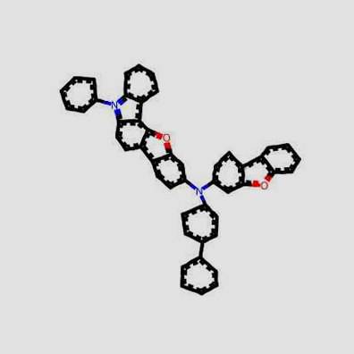 c1ccc(-c2ccc(N(c3ccc4c(c3)oc3ccccc34)c3ccc4c(c3)oc3c4ccc4c3c3ccccc3n4-c3ccccc3)cc2)cc1